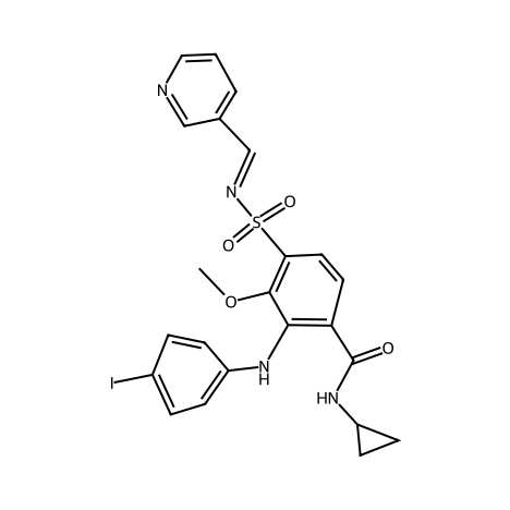 COc1c(S(=O)(=O)N=Cc2cccnc2)ccc(C(=O)NC2CC2)c1Nc1ccc(I)cc1